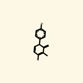 C=C1C(C)=C(C)C=CC1c1ccc(C(C)=O)cc1